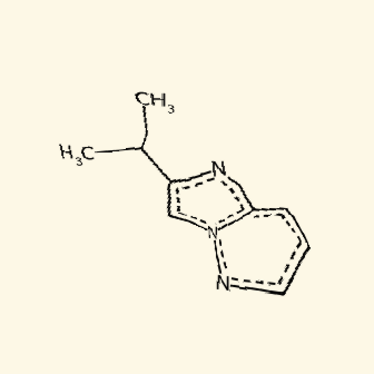 CC(C)c1cn2ncccc2n1